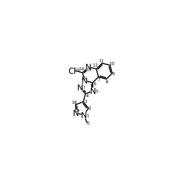 Cn1cc(-c2nc3c4ccccc4nc(Cl)n3n2)cn1